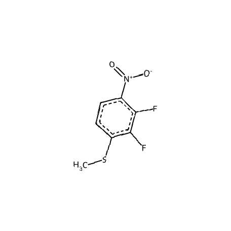 CSc1ccc([N+](=O)[O-])c(F)c1F